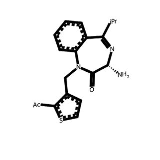 CC(=O)c1sccc1CN1C(=O)[C@@H](N)N=C(C(C)C)c2ccccc21